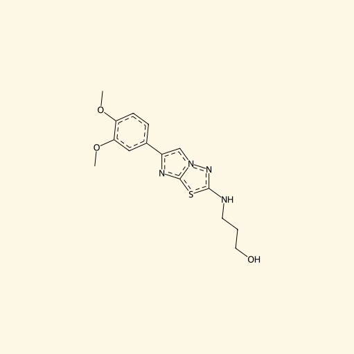 COc1ccc(-c2cn3nc(NCCCO)sc3n2)cc1OC